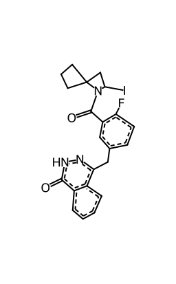 O=C(c1cc(Cc2n[nH]c(=O)c3ccccc23)ccc1F)N1C(I)CC12CCC2